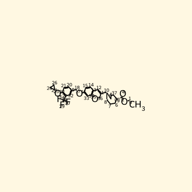 CCOC(=O)[C@@H]1CCCN(CC2=Cc3ccc(OCc4ccc(OC5CC5)c(C(F)(F)F)c4)cc3OC2)C1